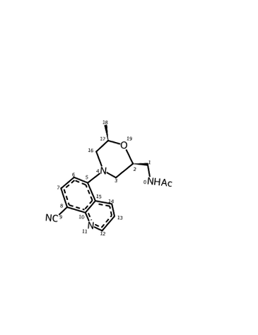 CC(=O)NC[C@H]1CN(c2ccc(C#N)c3ncccc23)C[C@@H](C)O1